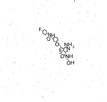 Nc1ncc(C(=O)NCCO)c2scc(COc3cccc(C(=O)Nc4ccc(F)cc4)c3)c12